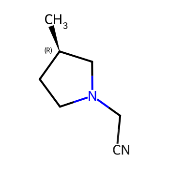 C[C@@H]1CCN(CC#N)C1